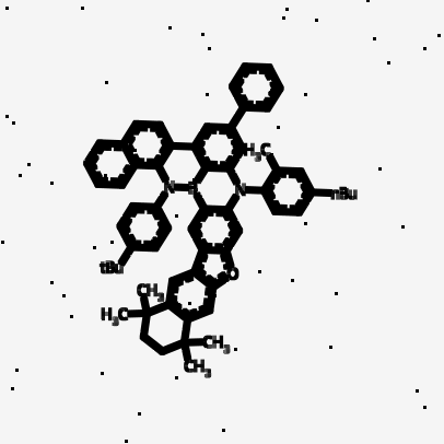 CCCCc1ccc(N2c3cc4oc5cc6c(cc5c4cc3B3c4c(cc(-c5ccccc5)cc42)-c2ccc4ccccc4c2N3c2ccc(C(C)(C)C)cc2)C(C)(C)CCC6(C)C)c(C)c1